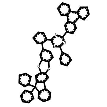 c1ccc(-c2nc(-c3ccc4c5ccccc5c5ccccc5c4c3)nc(-c3ccccc3-c3ccc4c(c3)Oc3cc5c(cc3O4)-c3ccccc3C5(c3ccccc3)c3ccccc3)n2)cc1